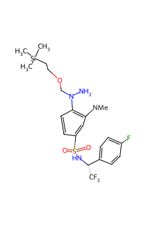 CNc1cc(S(=O)(=O)N[C@H](c2ccc(F)cc2)C(F)(F)F)ccc1N(N)COCC[Si](C)(C)C